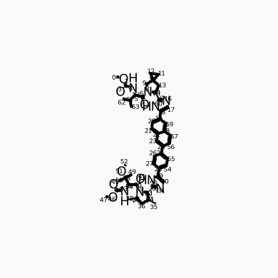 COC(=O)N[C@H](C(=O)N1CC2(CC2)C[C@H]1c1ncc(-c2ccc3cc(-c4ccc(-c5cnc([C@@H]6[C@@H](C)C[C@@H](C)N6C(=O)[C@@H](NC(=O)OC)C(C)(C)OC)[nH]5)cc4)ccc3c2)[nH]1)C(C)C